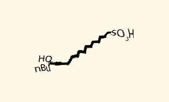 CCCC[C@@H](O)C#CCCCCCCCCCCCCS(=O)(=O)O